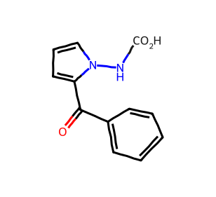 O=C(O)Nn1cccc1C(=O)c1ccccc1